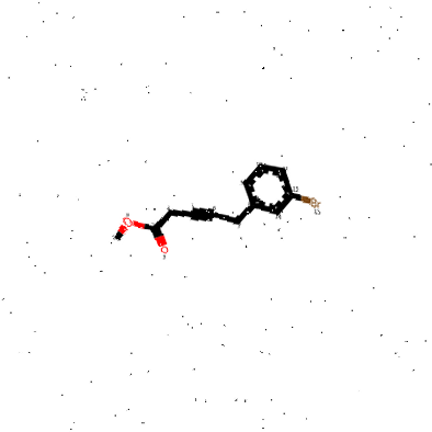 COC(=O)CC#CCc1cccc(Br)c1